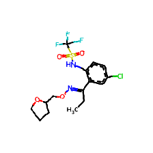 CC/C(=N\OCC1CCCO1)c1cc(Cl)ccc1NS(=O)(=O)C(F)(F)F